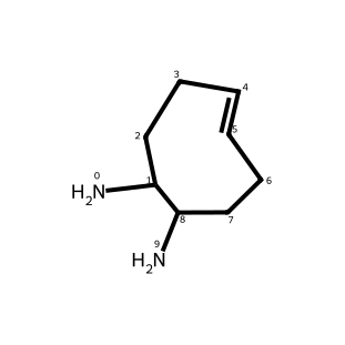 NC1CC/C=C/CCC1N